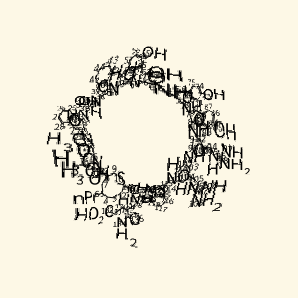 CCCCCC[C@@]12CCC[C@@H](CCC)C[C@H](CS1)C(=O)N(C)[C@@H](C)C(=O)N(C)[C@@H](Cc1ccccc1)C(=O)N[C@@H](CO)C(=O)N[C@@H](CC1CCCCC1)C(=O)N[C@@H](Cc1ccc(O)cc1)C(=O)N[C@@H](CO)C(=O)N[C@@H](Cc1ccc(O)cc1)C(=O)N[C@@H](Cc1ccc(O)cc1)C(=O)N[C@@H](CCCNC(=N)N)C(=O)N[C@@H](CCCNC(=N)N)C(=O)N[C@@H](CC1CCCCC1)C(=O)N[C@H](C(=O)N/C=C(\CCC(=O)O)C(N)=O)C2